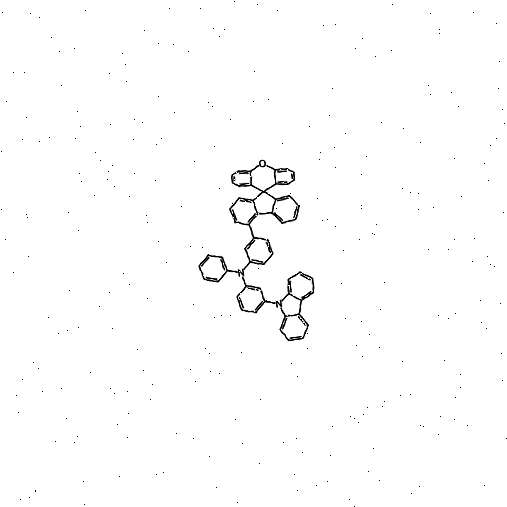 c1ccc(N(c2cccc(-c3cccc4c3-c3ccccc3C43c4ccccc4Oc4ccccc43)c2)c2cccc(-n3c4ccccc4c4ccccc43)c2)cc1